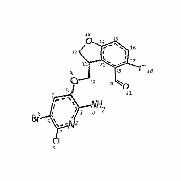 Nc1nc(Cl)c(Br)cc1OC[C@H]1COc2ccc(F)c(C=O)c21